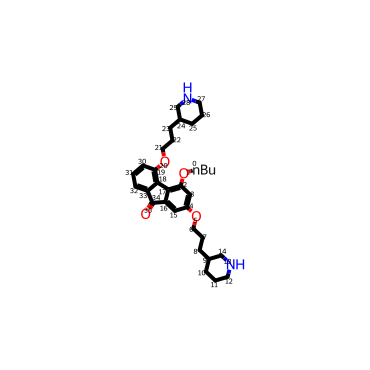 CCCCOc1cc(OCCCC2CCCNC2)cc2c1-c1c(OCCCC3CCCNC3)cccc1C2=O